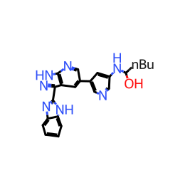 CCCCC(O)Nc1cncc(-c2cnc3[nH]nc(-c4nc5ccccc5[nH]4)c3c2)c1